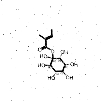 CC=C(C)C(=O)O[C@]1(O)[C@H](O)[C@H](O)[C@@H](O)[C@H](O)[C@H]1O